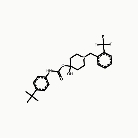 CC(C)(C)c1ccc(NC(=O)OC2(O)CCN(Cc3ccccc3C(F)(F)F)CC2)cc1